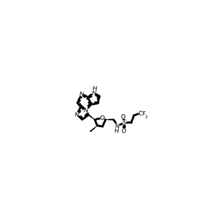 C[C@@H]1C[C@H](CNS(=O)(=O)CCC(F)(F)F)O[C@@H]1c1cnc2cnc3[nH]ccc3n12